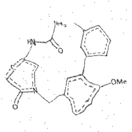 COc1ccc(Cn2cc(NC(N)=O)ccc2=O)cc1-c1cccc(C)c1